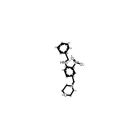 O=[N+]([O-])c1cc(CN2CCOCC2)ccc1NCc1ccccc1